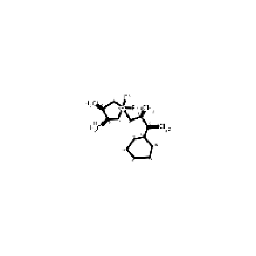 C=C1CP(F)(F)(CC(=C)C(=C)C2CCCCC2)CC1=C